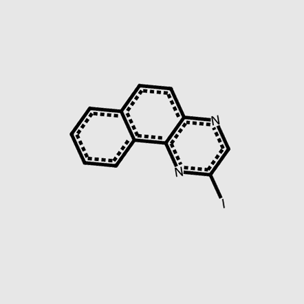 Ic1cnc2ccc3ccccc3c2n1